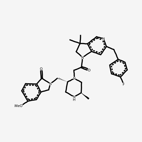 COc1ccc2c(c1)CN(C[C@H]1CN[C@H](C)CN1CC(=O)N1CC(C)(C)c3cnc(Cc4ccc(F)cc4)cc31)C2=O